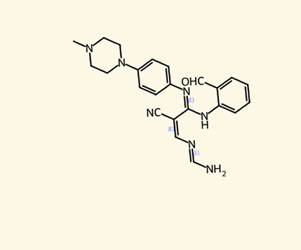 CN1CCN(c2ccc(\N=C(Nc3ccccc3C=O)/C(C#N)=C\N=C\N)cc2)CC1